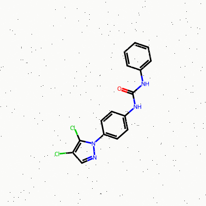 O=C(Nc1ccccc1)Nc1ccc(-n2ncc(Cl)c2Cl)cc1